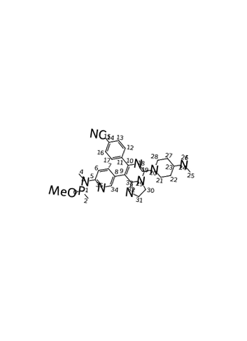 COP(C)N(C)c1ccc(C2=C(c3ccc(C#N)cc3)N=C(N3CCC(N(C)C)CC3)N3CCN=C23)cn1